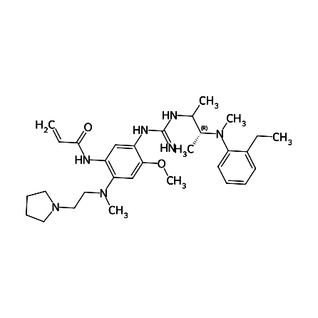 C=CC(=O)Nc1cc(NC(=N)NC(C)[C@@H](C)N(C)c2ccccc2CC)c(OC)cc1N(C)CCN1CCCC1